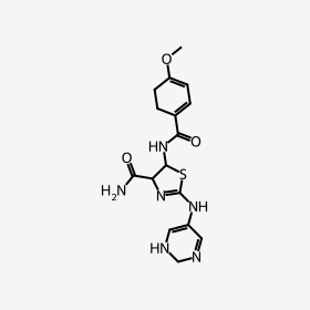 COC1=CC=C(C(=O)NC2SC(NC3=CNCN=C3)=NC2C(N)=O)CC1